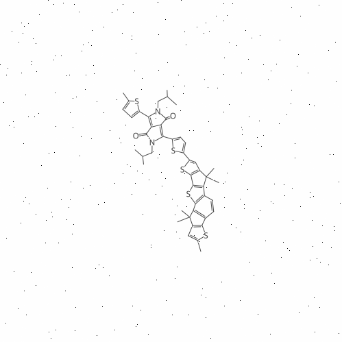 Cc1ccc(C2=C3C(=O)N(CC(C)C)C(c4ccc(-c5cc6c(s5)-c5sc7c8c(ccc7c5C6(C)C)-c5sc(C)cc5C8(C)C)s4)=C3C(=O)N2CC(C)C)s1